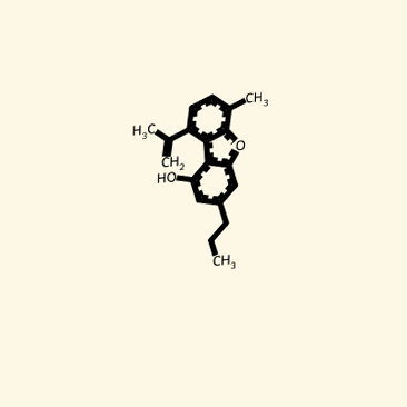 C=C(C)c1ccc(C)c2oc3cc(CCC)cc(O)c3c12